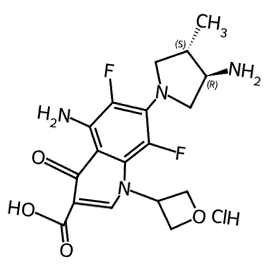 C[C@H]1CN(c2c(F)c(N)c3c(=O)c(C(=O)O)cn(C4COC4)c3c2F)C[C@@H]1N.Cl